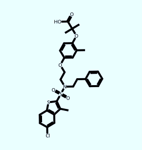 Cc1cc(OCCN(CCc2ccccc2)S(=O)(=O)c2sc3ccc(Cl)cc3c2C)ccc1OC(C)(C)C(=O)O